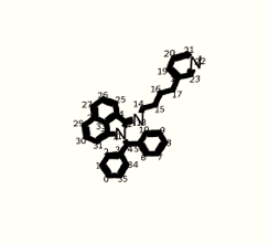 c1ccc(C(c2ccccc2)N2C(=NCCCCc3cccnc3)c3cccc4cccc2c34)cc1